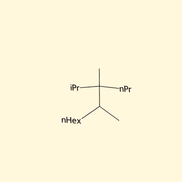 CCCCCCC(C)C(C)(CCC)C(C)C